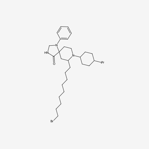 CC(C)C1CCC(N2CCC3(CC2CCCCCCCCCBr)C(=O)NCN3c2ccccc2)CC1